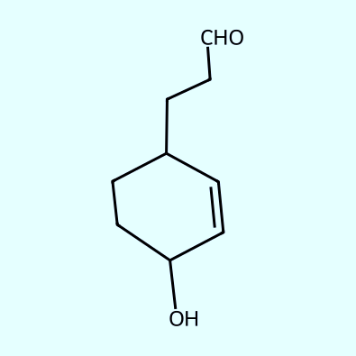 O=CCCC1C=CC(O)CC1